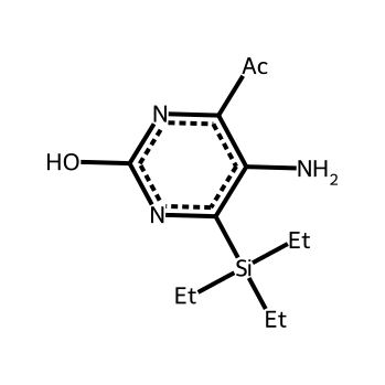 CC[Si](CC)(CC)c1nc(O)nc(C(C)=O)c1N